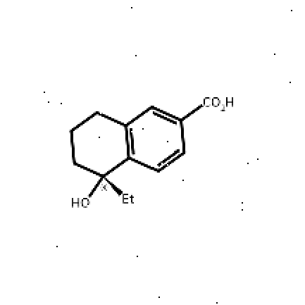 CC[C@@]1(O)CCCc2cc(C(=O)O)ccc21